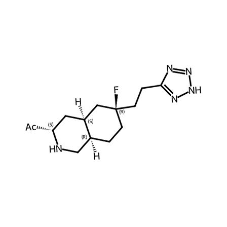 CC(=O)[C@@H]1C[C@H]2C[C@](F)(CCc3nn[nH]n3)CC[C@H]2CN1